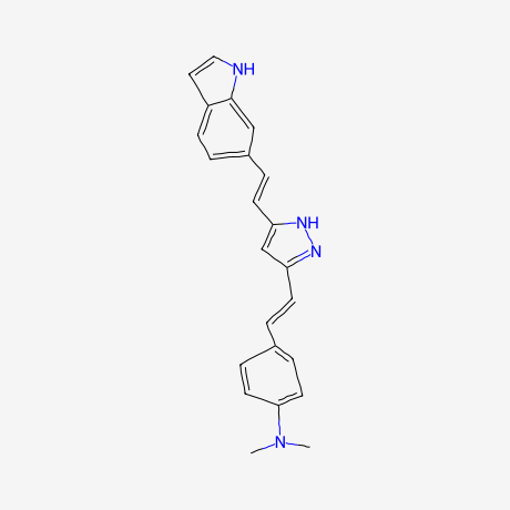 CN(C)c1ccc(C=Cc2cc(C=Cc3ccc4cc[nH]c4c3)[nH]n2)cc1